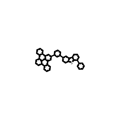 c1ccc(-c2cccc3c2sc2ccc(-c4cccc(-c5cc6c7ccccc7c7cccc8c9ccccc9c(c5)c6c78)c4)cc23)cc1